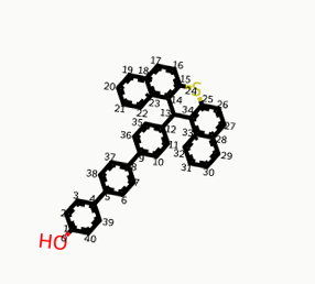 Oc1ccc(-c2ccc(-c3ccc(C4c5c(ccc6ccccc56)Sc5ccc6ccccc6c54)cc3)cc2)cc1